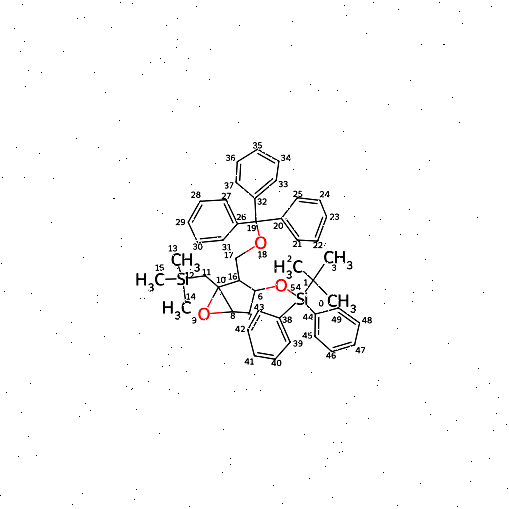 CC(C)(C)[Si](OC1CC2OC2(C[Si](C)(C)C)C1COC(c1ccccc1)(c1ccccc1)c1ccccc1)(c1ccccc1)c1ccccc1